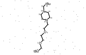 CC(C)(C)COCCOCCN1CCN(CC(C)(C)C)CC1